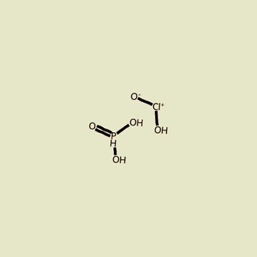 O=[PH](O)O.[O-][Cl+]O